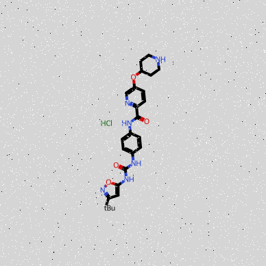 CC(C)(C)c1cc(NC(=O)Nc2ccc(NC(=O)c3ccc(OC4CCNCC4)cn3)cc2)on1.Cl